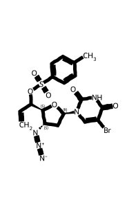 C=CC(OS(=O)(=O)c1ccc(C)cc1)[C@H]1O[C@@H](n2cc(Br)c(=O)[nH]c2=O)C[C@@H]1N=[N+]=[N-]